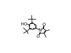 CC1=C(C)C(=O)N(c2cc(C(C)(C)C)c(O)c(C(C)(C)C)c2)C1=O